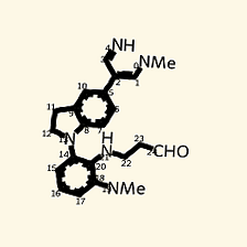 CN/C=C(\C=N)c1ccc2c(c1)CCN2c1cccc(NC)c1NCCC=O